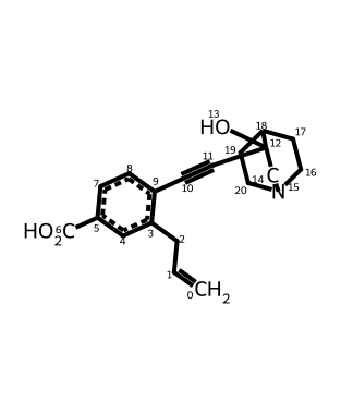 C=CCc1cc(C(=O)O)ccc1C#CC1(O)CN2CCC1CC2